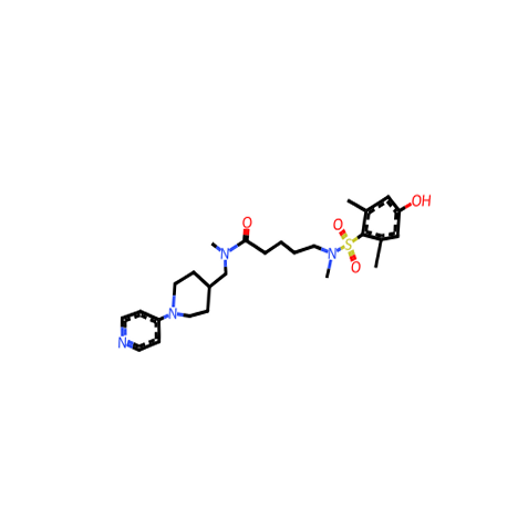 Cc1cc(O)cc(C)c1S(=O)(=O)N(C)CCCCC(=O)N(C)CC1CCN(c2ccncc2)CC1